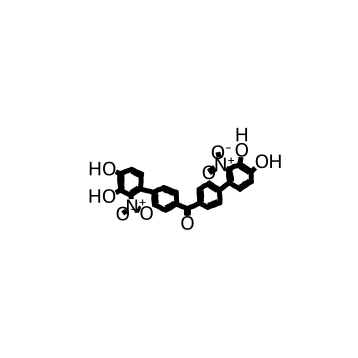 O=C(c1ccc(-c2ccc(O)c(O)c2[N+](=O)[O-])cc1)c1ccc(-c2ccc(O)c(O)c2[N+](=O)[O-])cc1